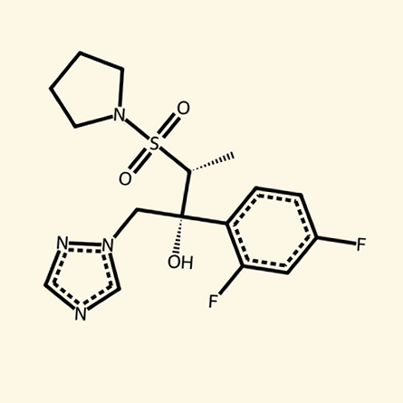 C[C@H]([C@](O)(Cn1cncn1)c1ccc(F)cc1F)S(=O)(=O)N1CCCC1